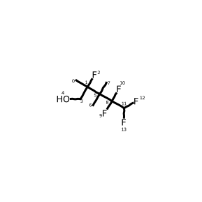 CC(F)(CO)C(C)(C)C(F)(F)C(F)F